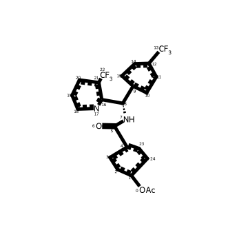 CC(=O)Oc1ccc(C(=O)N[C@@H](c2ccc(C(F)(F)F)cc2)c2ncccc2C(F)(F)F)cc1